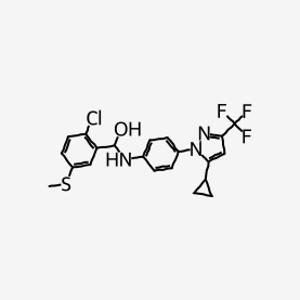 CSc1ccc(Cl)c(C(O)Nc2ccc(-n3nc(C(F)(F)F)cc3C3CC3)cc2)c1